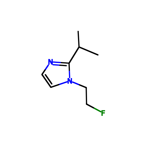 CC(C)c1nccn1CCF